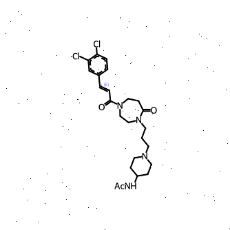 CC(=O)NC1CCN(CCCN2CCN(C(=O)/C=C/c3ccc(Cl)c(Cl)c3)CCC2=O)CC1